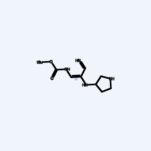 CC(C)(C)OC(=O)N/C=C(\C=N)NC1CCNC1